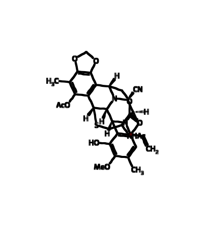 C=CCN1[C@@H]2Cc3cc(C)c(OC)c(O)c3[C@@H]1[C@@H]1[C@@H]3SCC(NC(C)=O)C(=O)OC[C@@H](c4c5c(c(C)c(OC(C)=O)c43)OCO5)N1[C@H]2C#N